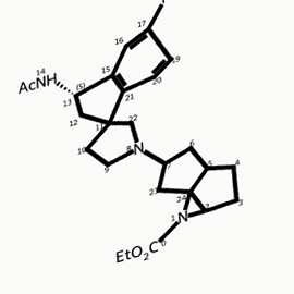 CCOC(=O)N1C2CCC3CC(N4CCC5(C[C@H](NC(C)=O)c6cc(F)ccc65)C4)CC321